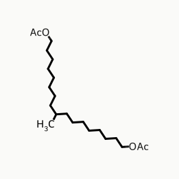 CC(=O)OCCCCCCCCC(C)CCCCCCCCOC(C)=O